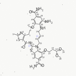 CCc1nc(C)sc1C(=O)/N=c1\sc2cc(C(N)=O)cc(OCCC(OC)OC)c2n1C/C=C/CNc1c(N)cc(C(N)=O)cc1OC